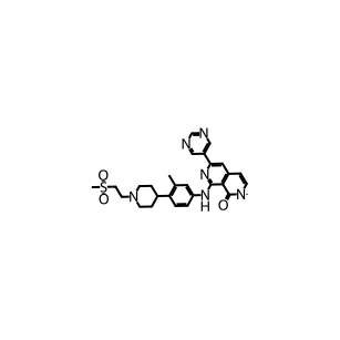 Cc1cc(Nc2nc(-c3cncnc3)cc3c2C(=O)[N]C=C3)ccc1C1CCN(CCS(C)(=O)=O)CC1